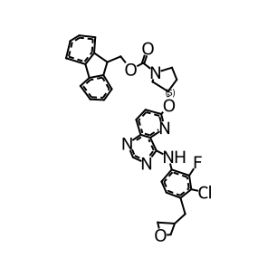 O=C(OCC1c2ccccc2-c2ccccc21)N1CC[C@H](Oc2ccc3ncnc(Nc4ccc(CC5COC5)c(Cl)c4F)c3n2)C1